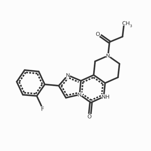 CCC(=O)N1CCc2[nH]c(=O)n3cc(-c4ccccc4F)nc3c2C1